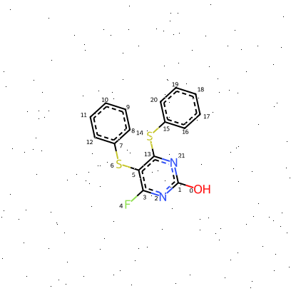 Oc1nc(F)c(Sc2ccccc2)c(Sc2ccccc2)n1